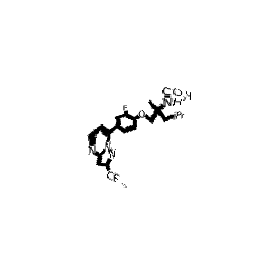 CC(C)CC(C)(COc1ccc(-c2ccnc3cc(C(F)(F)F)nn23)cc1F)NC(=O)O